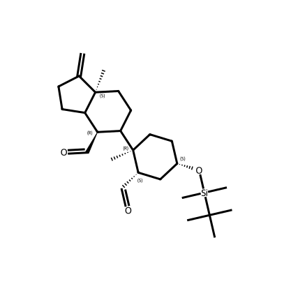 C=C1CCC2[C@H](C=O)C([C@@]3(C)CC[C@H](O[Si](C)(C)C(C)(C)C)C[C@@H]3C=O)CC[C@]12C